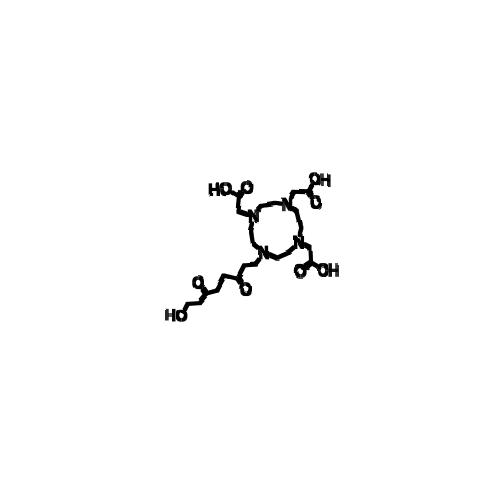 O=C(O)CN1CCN(CCC(=O)CCC(=O)CCO)CCN(CC(=O)O)CCN(CC(=O)O)CC1